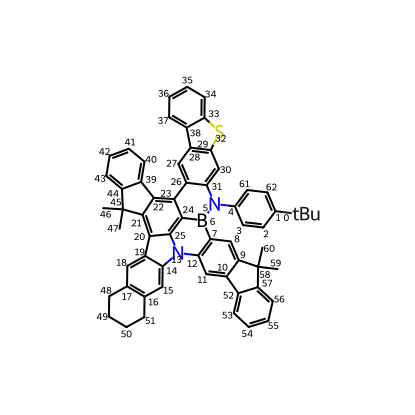 CC(C)(C)c1ccc(N2B3c4cc5c(cc4-n4c6cc7c(cc6c6c8c(c(c3c64)-c3cc4c(cc32)sc2ccccc24)-c2ccccc2C8(C)C)CCCC7)-c2ccccc2C5(C)C)cc1